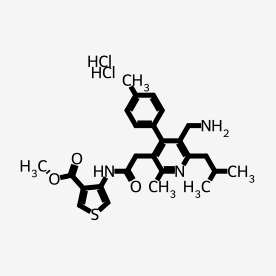 COC(=O)c1cscc1NC(=O)Cc1c(C)nc(CC(C)C)c(CN)c1-c1ccc(C)cc1.Cl.Cl